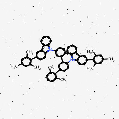 Cc1cc(C)c(-c2ccc3c(c2)c2ccccc2n3-c2ccc(C#N)c(-c3cc(-c4c(C(F)(F)F)cccc4C(F)(F)F)ccc3-n3c4ccccc4c4cc(-c5c(C)cc(C)cc5C)ccc43)c2)c(C)c1